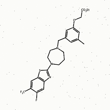 CCOC(=O)COc1cc(C)cc(CN2CCCN(c3nc4cc(F)c(C(F)(F)F)cc4s3)CC2)c1